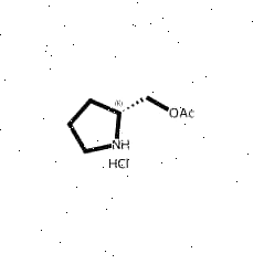 CC(=O)OC[C@H]1CCCN1.Cl